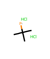 CC(C)(C)[P].Cl.Cl